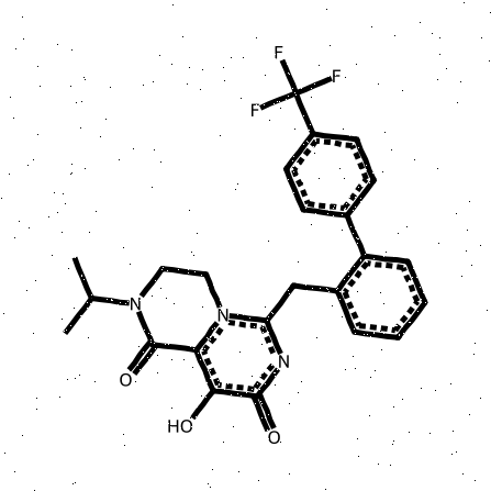 CC(C)N1CCn2c(Cc3ccccc3-c3ccc(C(F)(F)F)cc3)nc(=O)c(O)c2C1=O